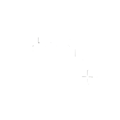 C=C(C)C(=O)NCCC[N+](C)(C)CCCCCS(=O)(=O)O.[OH-]